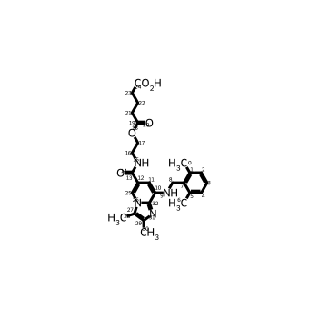 Cc1cccc(C)c1CNc1cc(C(=O)NCCOC(=O)CCCC(=O)O)cn2c(C)c(C)nc12